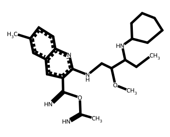 CCC(NC1CCCCC1)C(CNc1nc2ccc(C)cc2cc1C(=N)OC(C)=N)OC